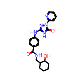 O=C(NCC1CCCCC1O)c1ccc(Nc2nn(-c3ccccn3)c(=O)[nH]2)cc1